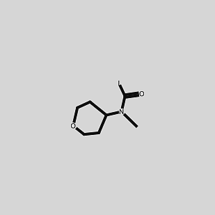 CN(C(=O)I)C1CCOCC1